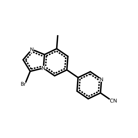 Cc1cc(-c2ccc(C#N)nc2)cn2c(Br)cnc12